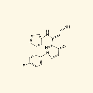 N=C/C=C(\Nc1ccccc1)c1nn(-c2ccc(F)cc2)ccc1=O